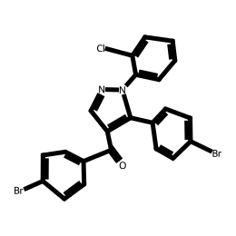 O=C(c1ccc(Br)cc1)c1cnn(-c2ccccc2Cl)c1-c1ccc(Br)cc1